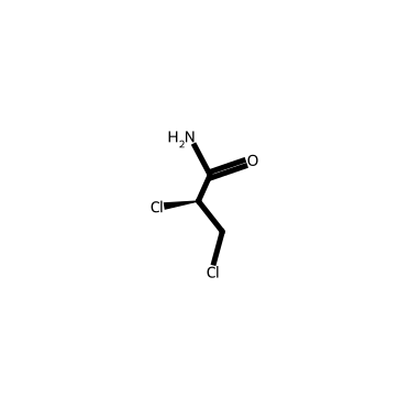 NC(=O)[C@H](Cl)CCl